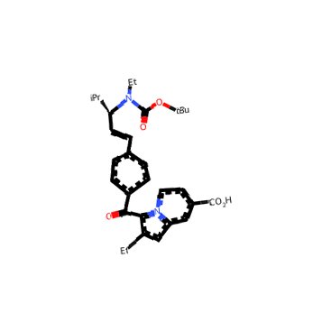 CCc1cc2cc(C(=O)O)ccn2c1C(=O)c1ccc(/C=C/[C@@H](C(C)C)N(CC)C(=O)OC(C)(C)C)cc1